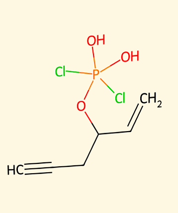 C#CCC(C=C)OP(O)(O)(Cl)Cl